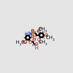 COc1cc(OC)c(/C=C/S(=O)(=O)Nc2ccc(OC)c(OC(=O)CO)c2)c(OC)c1